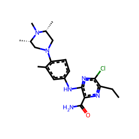 CCc1nc(C(N)=O)c(Nc2ccc(N3C[C@@H](C)N(C)[C@@H](C)C3)c(C)c2)nc1Cl